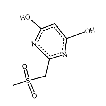 CS(=O)(=O)Cc1nc(O)cc(O)n1